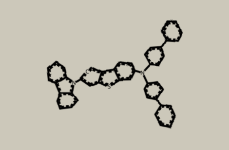 c1ccc(-c2ccc(N(c3ccc(-c4ccccc4)cc3)c3ccc4c(c3)sc3cc(-n5c6ccccc6c6ccccc65)ccc34)cc2)cc1